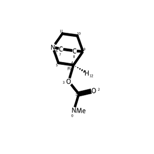 CNC(=O)O[C@H]1CN2CCC1CC2